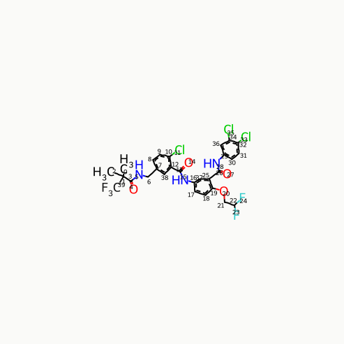 CC(C)(C(=O)NCc1ccc(Cl)c(C(=O)Nc2ccc(OCC(F)F)c(C(=O)Nc3ccc(Cl)c(Cl)c3)c2)c1)C(F)(F)F